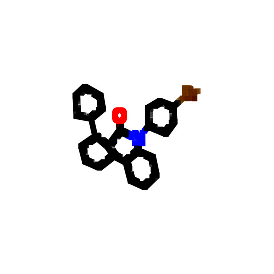 O=c1c2c(-c3ccccc3)cccc2c2ccccc2n1-c1ccc(Br)cc1